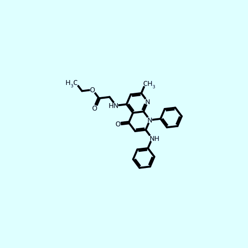 CCOC(=O)CNc1cc(C)nc2c1c(=O)cc(Nc1ccccc1)n2-c1ccccc1